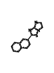 c1ccc2cc(-c3nc4nccn4s3)ccc2c1